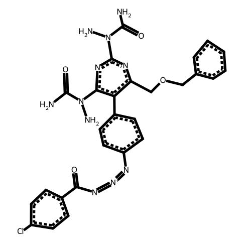 NC(=O)N(N)c1nc(COCc2ccccc2)c(-c2ccc(N=[N+]=NC(=O)c3ccc(Cl)cc3)cc2)c(N(N)C(N)=O)n1